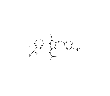 CC(C)/N=C1\S/C(=C\c2ccc(N(C)C)cc2)C(=O)N1c1cccc(C(F)(F)F)c1